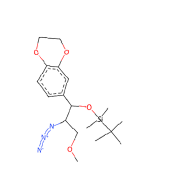 COCC(N=[N+]=[N-])C(O[Si](C)(C)C(C)(C)C)c1ccc2c(c1)OCCO2